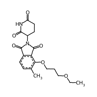 CCOCCCOc1c(C)ccc2c1C(=O)N(C1CCC(=O)NC1=O)C2=O